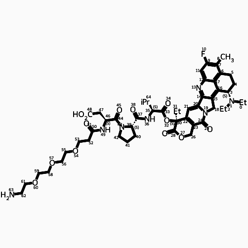 CCN(CC)[C@H]1CCc2c(C)c(F)cc3nc4c(c1c23)Cn1c-4cc2c(c1=O)COC(=O)[C@@]2(CC)OC(=O)[C@@H](NC(=O)[C@@H]1CCCN1C(=O)[C@H](CC(=O)O)NC(=O)CCOCCOCCOCCN)C(C)C